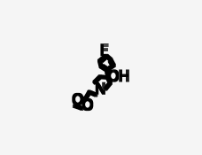 OC1(c2ccc(F)cc2)CCN(CCC2OCCO2)CC1